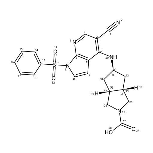 N#Cc1cnc2c(ccn2S(=O)(=O)c2ccccc2)c1N[C@H]1C[C@@H]2CN(C(=O)O)C[C@@H]2C1